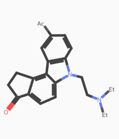 CCN(CC)CCn1c2ccc(C(C)=O)cc2c2c3c(ccc21)C(=O)CC3